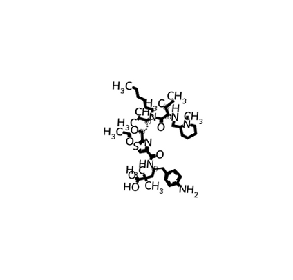 CCCCCCN(C(=O)[C@@H](NCC1CCCCN1C)[C@@H](C)CC)[C@H](C[C@@H](OC(C)=O)c1nc(C(=O)N[C@@H](Cc2ccc(N)cc2)CC(C)(C)C(=O)O)cs1)C(C)C